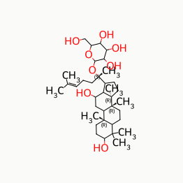 CC(C)=CCC[C@](C)(OC1OC(CO)C(O)C(O)C1O)C1CC[C@]2(C)C1C(O)CC1[C@@]3(C)CCC(O)C(C)(C)C3CC[C@]12C